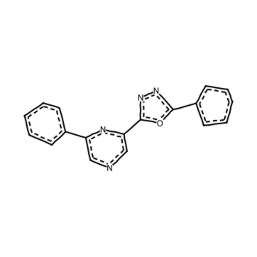 c1ccc(-c2cncc(-c3nnc(-c4ccccc4)o3)n2)cc1